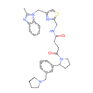 Cc1nc2ccccc2n1Cc1csc(CNC(=O)CCC(=O)N2CCCC2c2cccc(CN3CCCC3)c2)n1